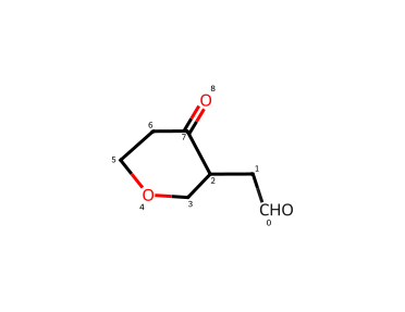 O=CCC1COCCC1=O